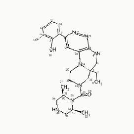 CCC12CNc3nnc(-c4cccc(F)c4O)cc3N1CCN(C(=O)N1[C@H](C)CNC[C@@H]1C)C2